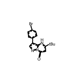 CC(C)(C)c1cc(=O)n2ncc(-c3ccc(Br)cc3)c2[nH]1